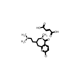 CN(C)CCC1Cc2nc(Cl)ccc2C(=O)N(C)C1.O=C(O)C=CC(=O)O